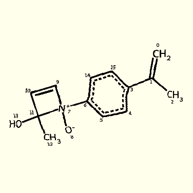 C=C(C)c1ccc([N+]2([O-])C=CC2(C)O)cc1